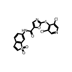 O=C(Nc1ccc2c(c1)S(=O)(=O)C=C2)c1cnc(Sc2c(Cl)cncc2Cl)o1